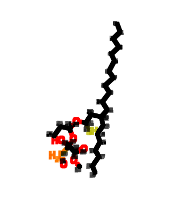 CCCCCCCCCCCCC(CCCCCCC)CC(S)OC(CC)OC(O)([PH2]=O)C(=O)OC